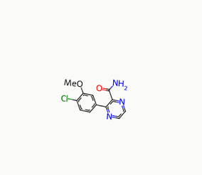 COc1cc(-c2nccnc2C(N)=O)ccc1Cl